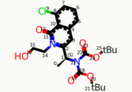 C[C@@H](c1cc2cccc(Cl)c2c(=O)n1CCO)N(C(=O)OC(C)(C)C)C(=O)OC(C)(C)C